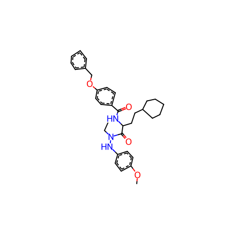 CCN(Nc1ccc(OC)cc1)C(=O)C(CCC1CCCCC1)NC(=O)c1ccc(OCc2ccccc2)cc1